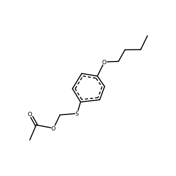 CCCCOc1ccc(SCOC(C)=O)cc1